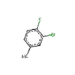 [CH]c1ccc(F)c(Br)c1